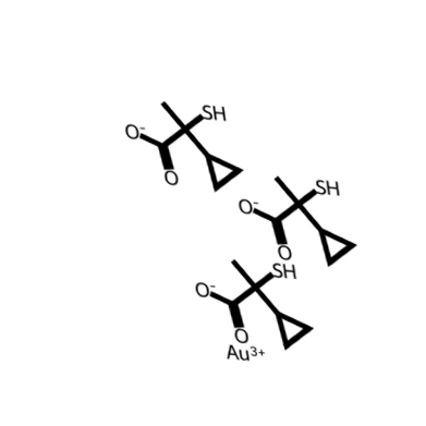 CC(S)(C(=O)[O-])C1CC1.CC(S)(C(=O)[O-])C1CC1.CC(S)(C(=O)[O-])C1CC1.[Au+3]